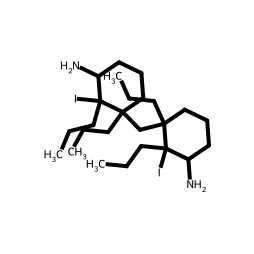 CCCC1(CC2(CCC)CCCC(N)C2(I)CCC)CCCC(N)C1(I)CCC